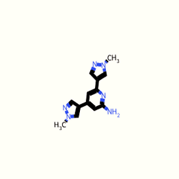 Cn1cc(-c2cc(N)nc(-c3cnn(C)c3)c2)cn1